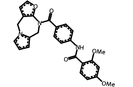 COc1ccc(C(=O)Nc2ccc(C(=O)N3Cc4cccn4Cc4ccoc43)cc2)c(OC)c1